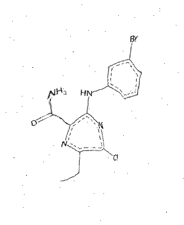 CCc1nc(C(N)=O)c(Nc2cccc(Br)c2)nc1Cl